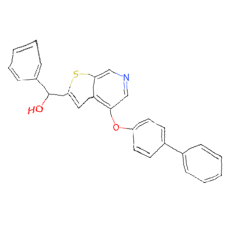 OC(c1ccccc1)c1cc2c(Oc3ccc(-c4ccccc4)cc3)cncc2s1